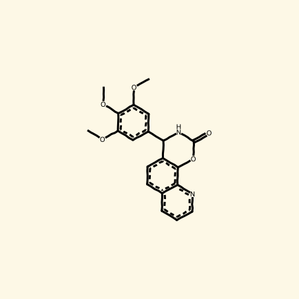 COc1cc(C2NC(=O)Oc3c2ccc2cccnc32)cc(OC)c1OC